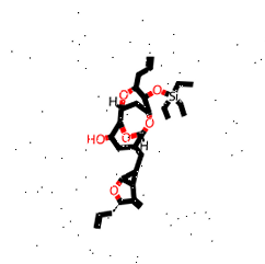 C=CCC1O[C@@H]2CC(O[C@@H]3OC2C(O)CC3CC2C3O[C@@H](CC=C)C(=C)C23)C1O[Si](CC)(CC)CC